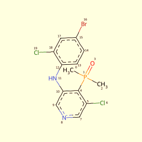 CP(C)(=O)c1c(Cl)cncc1Nc1ccc(Br)cc1Cl